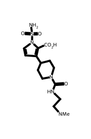 CNCCNC(=O)N1CCC(c2ccn(S(N)(=O)=O)c2C(=O)O)CC1